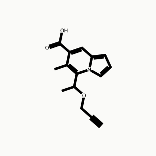 C#CCOC(C)c1c(C)c(C(=O)O)cc2cccn12